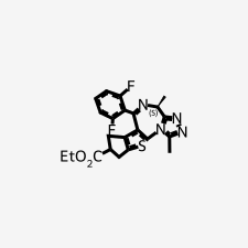 CCOC(=O)C1Cc2sc3c(c2C1)C(c1c(F)cccc1F)=N[C@@H](C)c1nnc(C)n1-3